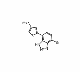 CCCCCCc1csc(-c2ccc(Br)c3nn[nH]c23)c1